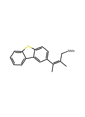 CNCC(C)=C(C)c1ccc2sc3ccccc3c2c1